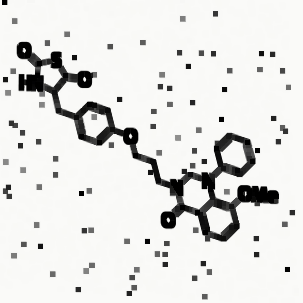 COc1cccc2c1N(c1ccccc1)CN(CCCOc1ccc(CC3NC(=O)SC3=O)cc1)C2=O